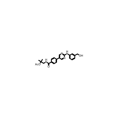 CC(=O)OC(C)(C)CNC(=O)c1ccc(-c2cnc(Nc3cccc(CO)c3)nc2)cc1